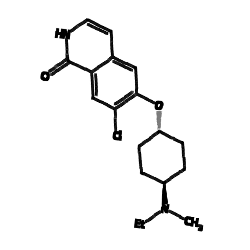 CCN(C)[C@H]1CC[C@H](Oc2cc3cc[nH]c(=O)c3cc2Cl)CC1